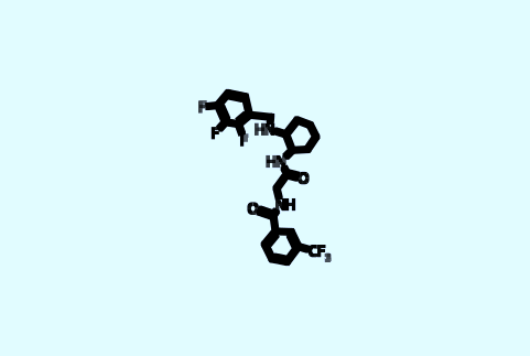 O=C(CNC(=O)c1cccc(C(F)(F)F)c1)NC1CCCCC1NCc1ccc(F)c(F)c1F